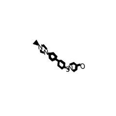 O=CC1=CCN(SC2C=CC(c3ccc(N4CCN(C5CC5)CC4)cc3)CC2)CC1